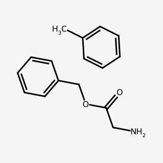 Cc1ccccc1.NCC(=O)OCc1ccccc1